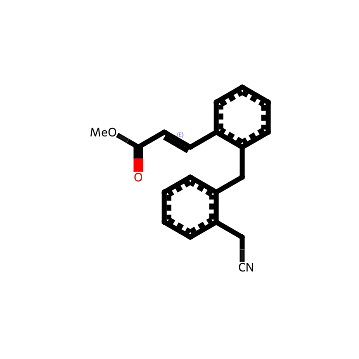 COC(=O)/C=C/c1ccccc1Cc1ccccc1CC#N